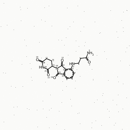 NC(=O)CCNc1cccc2c1C(=O)N(C1CCC(=O)NC1=O)C2=O